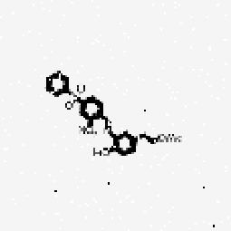 COCCc1ccc(O)c(N=Nc2ccc(S(=O)(=O)c3ccccc3)cc2[N+](=O)[O-])c1